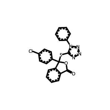 O=C1OC(Sc2nnnn2-c2ccccc2)(c2ccc(Cl)cc2)c2ccccc21